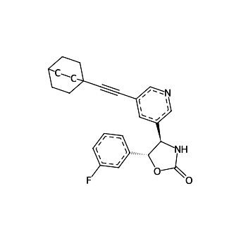 O=C1N[C@H](c2cncc(C#CC34CCC(CC3)CC4)c2)[C@@H](c2cccc(F)c2)O1